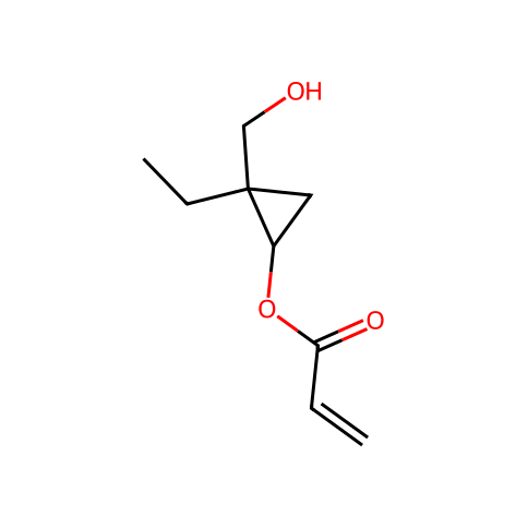 C=CC(=O)OC1CC1(CC)CO